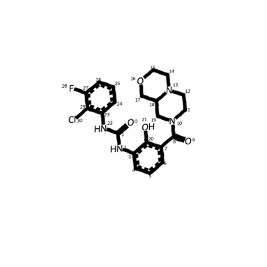 O=C(Nc1cccc(C(=O)N2CCN3CCOCC3C2)c1O)Nc1cccc(F)c1Cl